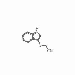 N#CCSc1c[nH]c2ccccc12